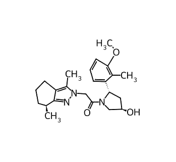 COc1cccc([C@@H]2C[C@@H](O)CN2C(=O)Cn2nc3c(c2C)CCC[C@@H]3C)c1C